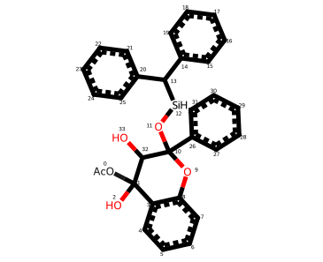 CC(=O)OC1(O)c2ccccc2OC(O[SiH2]C(c2ccccc2)c2ccccc2)(c2ccccc2)C1O